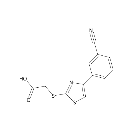 N#Cc1cccc(-c2csc(SCC(=O)O)n2)c1